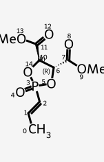 CC=CP1(=O)O[C@@H](C(=O)OC)[C@H](C(=O)OC)O1